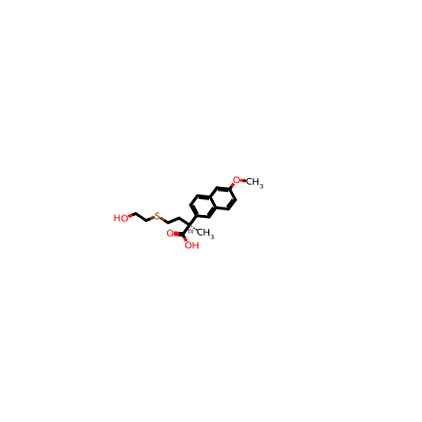 COc1ccc2cc([C@](C)(CCSCCO)C(=O)O)ccc2c1